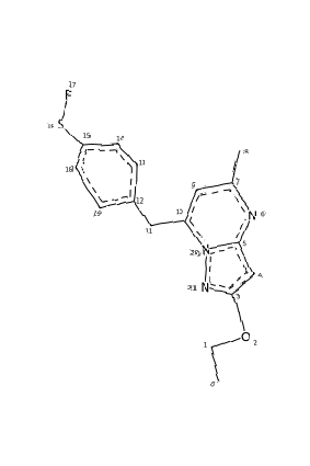 CCOc1cc2nc(C)cc(Cc3ccc(SF)cc3)n2n1